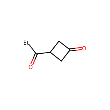 CCC(=O)C1CC(=O)C1